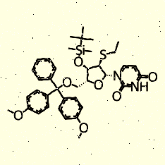 CCS[C@@H]1[C@H](O[Si](C)(C)C(C)(C)C)[C@@H](COC(c2ccccc2)(c2ccc(OC)cc2)c2ccc(OC)cc2)O[C@H]1n1ccc(=O)[nH]c1=O